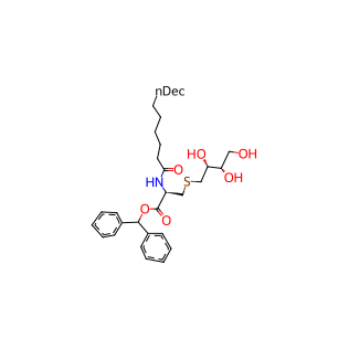 CCCCCCCCCCCCCCCC(=O)N[C@@H](CSC[C@@H](O)[C@H](O)CO)C(=O)OC(c1ccccc1)c1ccccc1